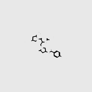 CC1CC(C#N)N(C(=O)C(CN2CC(N[C@@H](C)c3ccc(C(F)(F)F)cc3)CC2C=O)NC(=O)OC(C)(C)C)C1